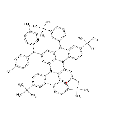 Cc1ccc(N(c2ccc(C)cc2)c2cc3c4c(c2)N(c2ccc(C(C)(C)C)cc2-c2ccccc2)c2cc5c(cc2B4c2ccc(C(C)(C)C)cc2N3c2cccc(C(C)(C)C)c2)CC(C)(C)C5)cc1